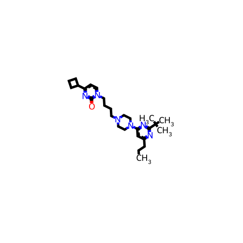 CCCc1cc(N2CCN(CCCCn3ccc(C4CCC4)nc3=O)CC2)nc(C(C)(C)C)n1